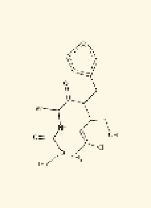 C/C(Cl)=C/C(CO)C(Cc1ccccc1)C(=O)C(NC(=O)OC(C)(C)C)C(C)C